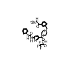 CC(C)(C)NC(=O)c1cccc(CN2CCN(C(=O)c3ccc(NC(=O)Nc4ccccc4)nc3)CC2)c1.O=C(O)C(F)(F)F